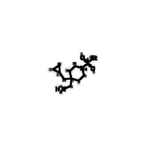 CCS(=O)(=O)N1CCC(CN)(CC2CC2)CC1